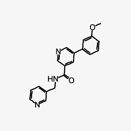 COc1cccc(-c2cncc(C(=O)NCc3cccnc3)c2)c1